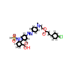 CN(CCOC(=O)/C=C/c1ccc(Cl)cc1)c1ccc(/N=N/c2ccc(-c3c(NS(C)(=O)=O)cccc3C(=O)O)cc2)cc1